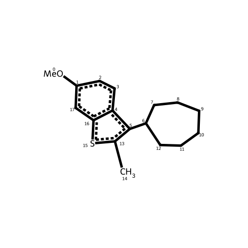 COc1ccc2c(C3CCCCCC3)c(C)sc2c1